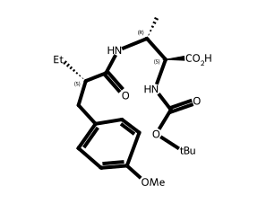 CC[C@@H](Cc1ccc(OC)cc1)C(=O)N[C@H](C)[C@H](NC(=O)OC(C)(C)C)C(=O)O